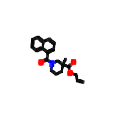 C=CCOC(=O)C1(C)CCCN(C(=O)c2cccc3ccccc23)C1